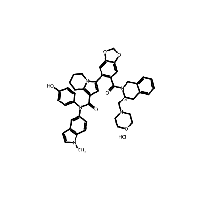 Cl.Cn1ccc2cc(N(C(=O)c3cc(-c4cc5c(cc4C(=O)N4Cc6ccccc6C[C@H]4CN4CCOCC4)OCO5)n4c3CCCC4)c3ccc(O)cc3)ccc21